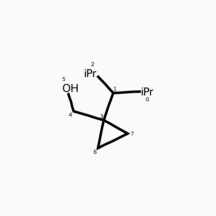 CC(C)C(C(C)C)C1(CO)CC1